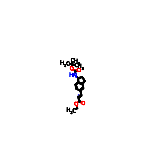 CCOC(=O)/C=C/c1ccc2c(c1)CCC2NC(=O)OC(C)(C)C